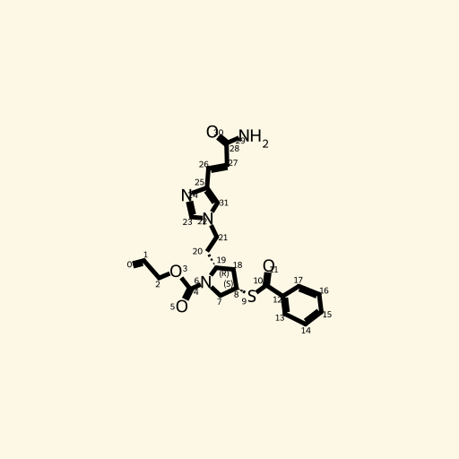 C=CCOC(=O)N1C[C@@H](SC(=O)c2ccccc2)C[C@H]1CCn1cnc(C=CC(N)=O)c1